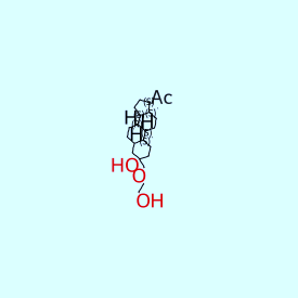 CC(=O)[C@H]1CC[C@H]2[C@@H]3CCC4CC(O)(COCCO)CC[C@]4(C)[C@H]3CC[C@]12C